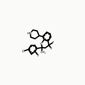 CC1(c2ccc(Cl)cc2F)CC(F)(F)c2cccc(C3CCNCC3)c2O1